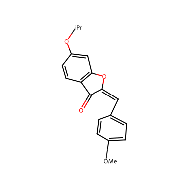 COc1ccc(C=C2Oc3cc(OC(C)C)ccc3C2=O)cc1